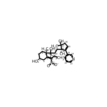 CC/C(=C1/C[C@@H](O)CC[C@]1(C)C(C)(C)CC[C@]1(C)C(c2cccnc2)=CCC1(C)C)[N+](=O)[O-]